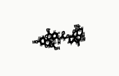 CN1CC[C@]23c4c5ccc(OCC(=O)Nc6ccc7c(c6)C6(OC7=O)c7ccc(O)cc7Oc7cc(O)ccc76)c4O[C@H]2[C@@H](O)CC[C@H]3[C@H]1C5